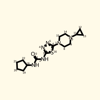 O=C(Nc1nnc(N2CCN(C3CC3)CC2)s1)NC1CCCC1